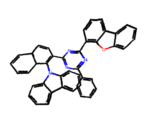 C1=CC2C=CC(c3nc(-c4ccccc4)nc(-c4cccc5c4oc4ccccc45)n3)=C(n3c4ccccc4c4ccccc43)C2C=C1